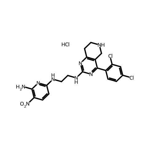 Cl.Nc1nc(NCCNc2nc3c(c(-c4ccc(Cl)cc4Cl)n2)CNCC3)ccc1[N+](=O)[O-]